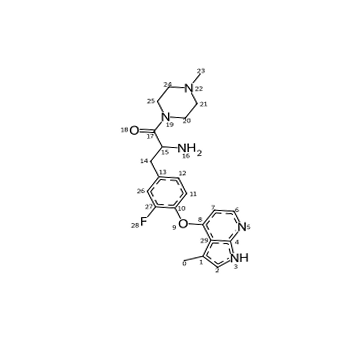 Cc1c[nH]c2nccc(Oc3ccc(CC(N)C(=O)N4CCN(C)CC4)cc3F)c12